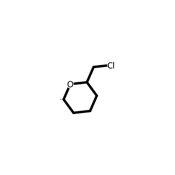 ClCC1CCC[CH]O1